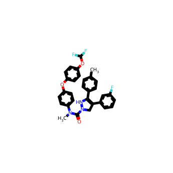 Cc1ccc(C2=C(c3cccc(F)c3)CN(C(=O)N(C)c3ccc(Oc4ccc(OC(F)F)cc4)cc3)N2)cc1